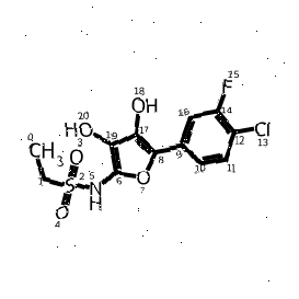 CCS(=O)(=O)Nc1oc(-c2ccc(Cl)c(F)c2)c(O)c1O